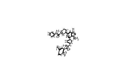 COc1ccc(F)cc1C(=O)NCc1ccc(-c2nc(C3CCCN(C(=O)Nc4ccccc4)C3)cc3[nH]nc(N)c23)cc1